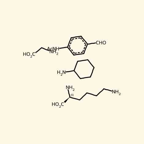 CC(=O)Nc1ccc(C=O)cc1.NC1CCCCC1.NCC(=O)O.NCCCC[C@H](N)C(=O)O